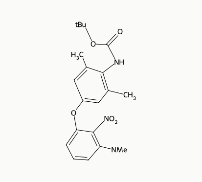 CNc1cccc(Oc2cc(C)c(NC(=O)OC(C)(C)C)c(C)c2)c1[N+](=O)[O-]